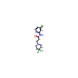 O=C(CCN1CCC(F)(F)CC1)Nc1cc(Br)ccn1